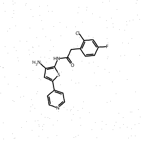 Nc1cc(-c2ccncc2)sc1NC(=O)Cc1ccc(F)cc1Cl